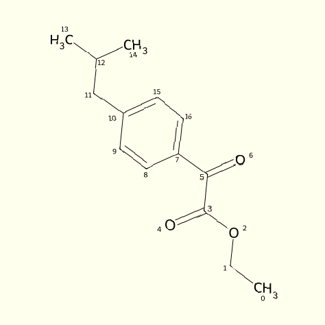 CCOC(=O)C(=O)c1ccc(CC(C)C)cc1